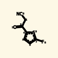 N#CCC(=O)c1ccc(F)s1